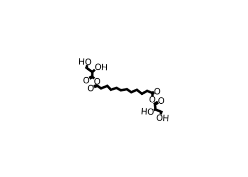 O=C(CCCCCCCCCCC(=O)OC(=O)C(O)CO)OC(=O)C(O)CO